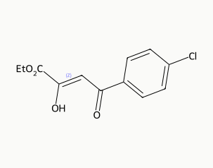 CCOC(=O)/C(O)=C/C(=O)c1ccc(Cl)cc1